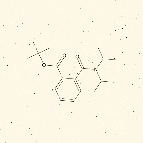 CC(C)N(C(=O)c1ccccc1C(=O)OC(C)(C)C)C(C)C